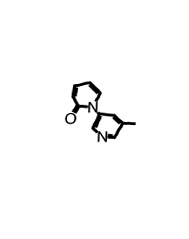 Cc1cncc(-n2ccccc2=O)c1